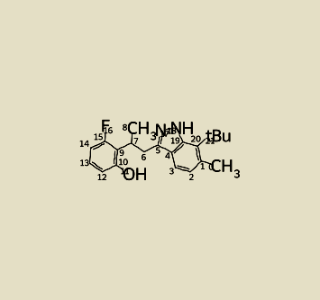 Cc1ccc2c(CC(C)c3c(O)cccc3F)n[nH]c2c1C(C)(C)C